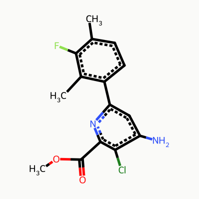 COC(=O)c1nc(-c2ccc(C)c(F)c2C)cc(N)c1Cl